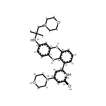 CC(C)(CN1CCOCC1)Nc1ccc2c(c1)Sc1cccc(-c3cc(N4CCOCC4)cc(=O)[nH]3)c1S2